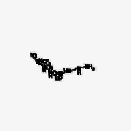 CCc1cc(Nc2nccn3c(-c4cn(Cc5cccnc5)nc4C(F)(F)F)cnc23)ccc1C(=O)NCCCNCCCCNCCCN